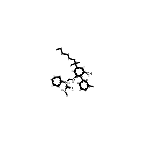 CCCCCCC(C)(C)c1cc(O)c(-c2cccc(C)c2)c(OCN(C(=O)OC)c2ccccc2)c1